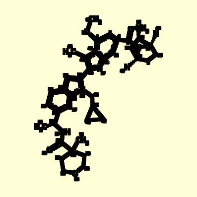 COc1cc(C(=O)N2[C@H]3CC[C@@H]2[C@H](N)C3)cc2nc(-c3cc4ccc([C@@H](C)NC(=O)C5(C)CCOCC5)nc4n3CC3CC3)c(C)n12